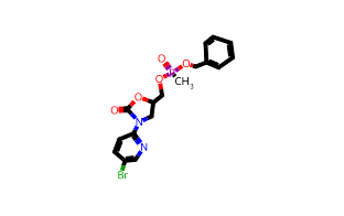 CP(=O)(OCc1ccccc1)OCC1CN(c2ccc(Br)cn2)C(=O)O1